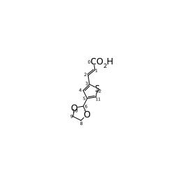 O=C(O)/C=C/c1cc(C2OCCO2)cs1